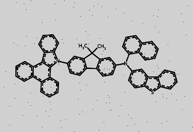 CC1(C)c2cc(N(c3ccc4sc5ccccc5c4c3)c3cccc4ccccc34)ccc2-c2ccc(-n3c4ccccc4c4c5ccccc5c5ccccc5c43)cc21